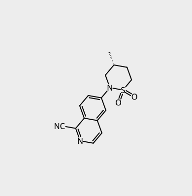 C[C@@H]1CCS(=O)(=O)N(c2ccc3c(C#N)nccc3c2)C1